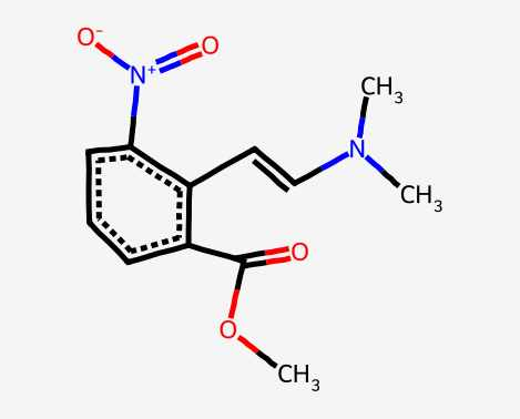 COC(=O)c1cccc([N+](=O)[O-])c1C=CN(C)C